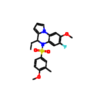 CCC1c2cccn2-c2cc(OC)c(F)cc2N1S(=O)(=O)c1ccc(OC)c(C)c1